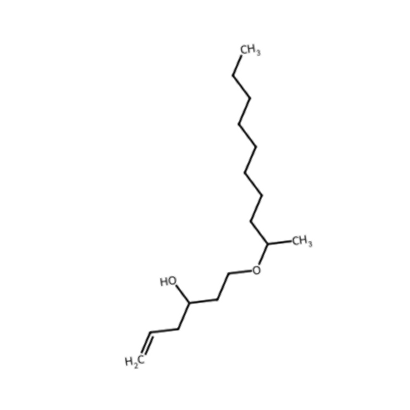 C=CCC(O)CCOC(C)CCCCCCCC